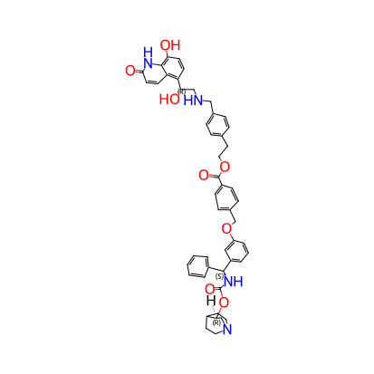 O=C(N[C@@H](c1ccccc1)c1cccc(OCc2ccc(C(=O)OCCc3ccc(CNC[C@H](O)c4ccc(O)c5[nH]c(=O)ccc45)cc3)cc2)c1)O[C@H]1CN2CCC1CC2